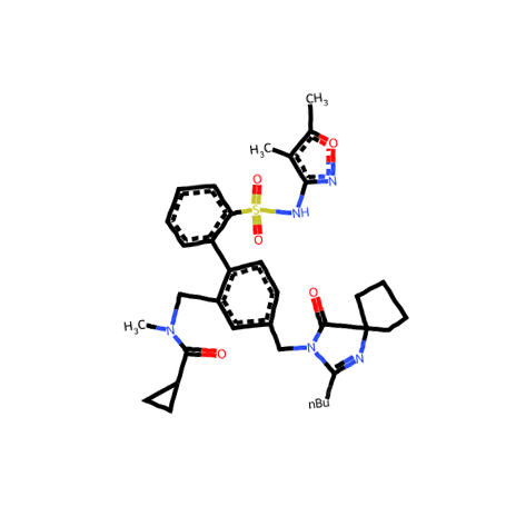 CCCCC1=NC2(CCCC2)C(=O)N1Cc1ccc(-c2ccccc2S(=O)(=O)Nc2noc(C)c2C)c(CN(C)C(=O)C2CC2)c1